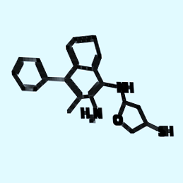 Cc1c(N)c(NC2CC(S)CO2)c2ccccc2c1-c1ccccc1